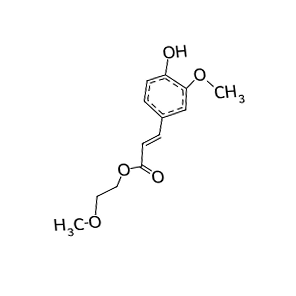 COCCOC(=O)/C=C/c1ccc(O)c(OC)c1